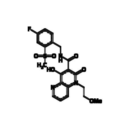 COCCn1c(=O)c(C(=O)NCc2ccc(F)cc2S(C)(=O)=O)c(O)c2ncccc21